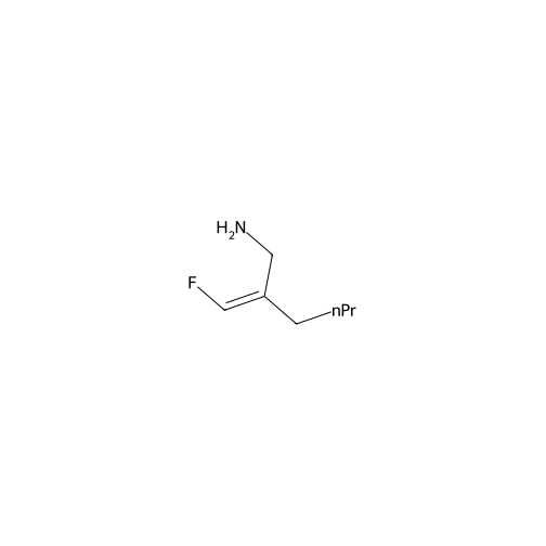 CCCCC(=CF)CN